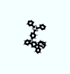 c1ccc(-c2nc(-c3ccccc3)nc(-c3ccc(-n4c5ccccc5c5cc6c(cc54)C4(c5ccccc5-6)C5CC6CC(C5)CC4C6)cc3)n2)cc1